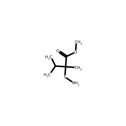 COC(=O)C(C)(SN)C(C)C